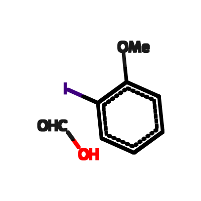 COc1ccccc1I.O=CO